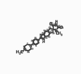 CN1CCN(c2ccc(-c3nc4cc5c(cc4[nH]3)CC3(C5)C(=O)NC(=O)N3C)cc2)CC1